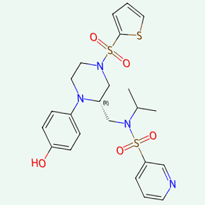 CC(C)N(C[C@H]1CN(S(=O)(=O)c2cccs2)CCN1c1ccc(O)cc1)S(=O)(=O)c1cccnc1